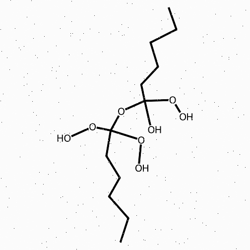 CCCCCC(O)(OO)OC(CCCCC)(OO)OO